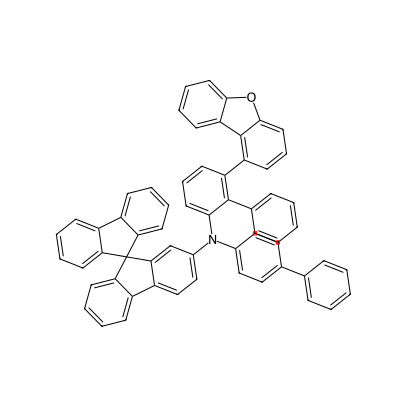 c1ccc(-c2ccc(N(c3ccc4c(c3)C3(c5ccccc5-c5ccccc53)c3ccccc3-4)c3cccc(-c4cccc5oc6ccccc6c45)c3-c3ccccc3)cc2)cc1